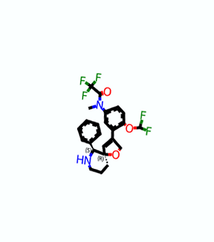 CN(C(=O)C(F)(F)F)c1ccc(OC(F)F)c(C2=C[C@@]3(CCCN[C@H]3c3ccccc3)OC2)c1